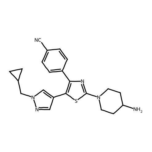 N#Cc1ccc(-c2nc(N3CCC(N)CC3)sc2-c2cnn(CC3CC3)c2)cc1